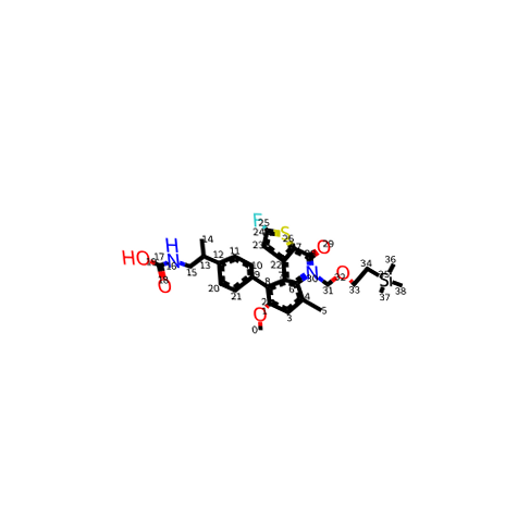 COc1cc(C)c2c(c1-c1ccc(C(C)CNC(=O)O)cc1)c1cc(F)sc1c(=O)n2COCC[Si](C)(C)C